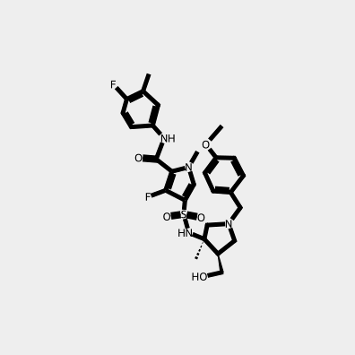 COc1ccc(CN2C[C@@H](CO)[C@@](C)(NS(=O)(=O)c3cn(C)c(C(=O)Nc4ccc(F)c(C)c4)c3F)C2)cc1